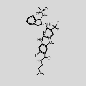 COc1cc(C(=O)NCCN(C)C)c(F)cc1Nc1ncc(C(F)(F)F)c(N[C@@H]2Cc3ccccc3[C@H]2N(C)S(C)(=O)=O)n1